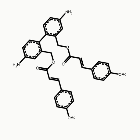 CC(=O)Oc1ccc(/C=C/C(=O)OCc2cc(N)ccc2-c2ccc(N)cc2COC(=O)/C=C/c2ccc(OC(C)=O)cc2)cc1